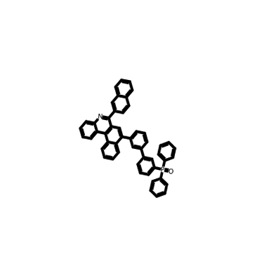 O=P(c1ccccc1)(c1ccccc1)c1cccc(-c2cccc(-c3cc4c(-c5ccc6ccccc6c5)nc5ccccc5c4c4ccccc34)c2)c1